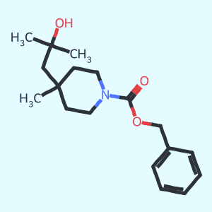 CC(C)(O)CC1(C)CCN(C(=O)OCc2ccccc2)CC1